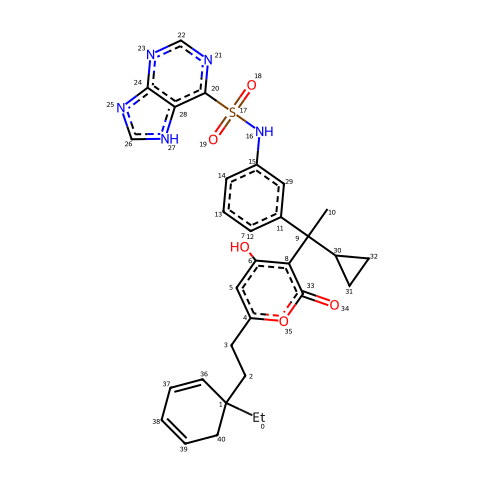 CCC1(CCc2cc(O)c(C(C)(c3cccc(NS(=O)(=O)c4ncnc5nc[nH]c45)c3)C3CC3)c(=O)o2)C=CC=CC1